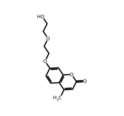 Cc1cc(=O)oc2cc(OCCOCCO)ccc12